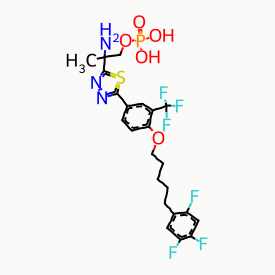 CC(N)(COP(=O)(O)O)c1nnc(-c2ccc(OCCCCCc3cc(F)c(F)cc3F)c(C(F)(F)F)c2)s1